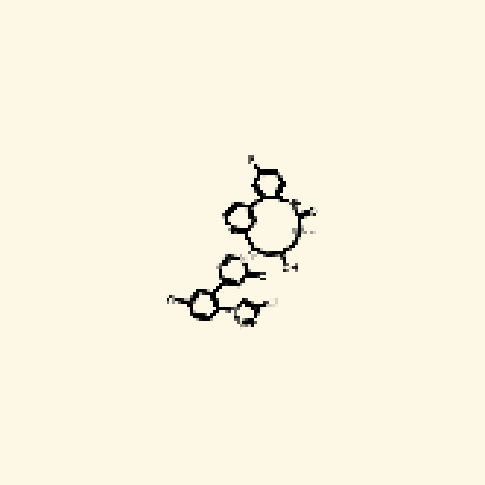 C[C@@H]1CC(O)C[C@H](n2cnc(-c3cc(Cl)ccc3-n3cc(Cl)nn3)cc2=O)c2cc(ccn2)-c2cc(F)ccc2NC1=O